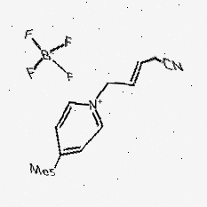 CSc1cc[n+](C/C=C/C#N)cc1.F[B-](F)(F)F